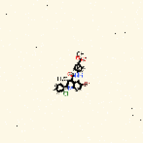 COC(=O)C12CCC(NC(=O)c3c(C)c(-c4ccccc4Cl)nc4ccc(Br)cc34)(CC1)CC2